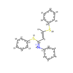 CC(=C/C(=N\c1ccccc1)Sc1ccccc1)Sc1ccccc1